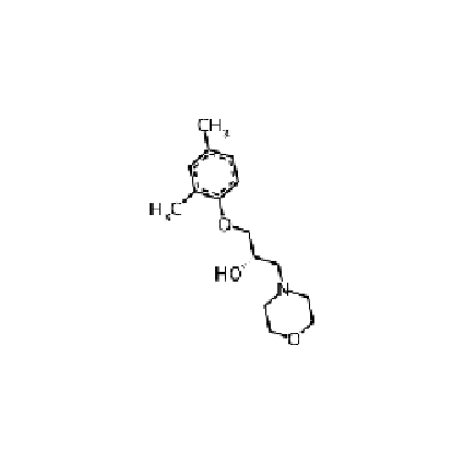 Cc1ccc(OC[C@@H](O)CN2CCOCC2)c(C)c1